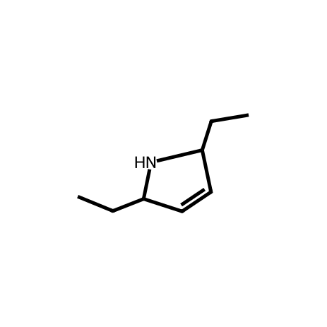 CCC1C=CC(CC)N1